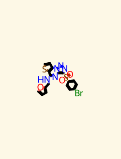 O=S(=O)(c1ccc(Br)cc1)c1nnn2c1nc(NCc1ccco1)c1sccc12